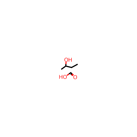 CCC(C)O.O=CO